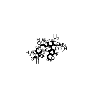 Cc1nc2c(cc(C(=O)N3CCC4(CC3)C(=O)NC(=O)N4C)n2C)c(-c2cc(F)c3c(c2C)CCCO3)c1[C@H](OC(C)(C)C)C(=O)O